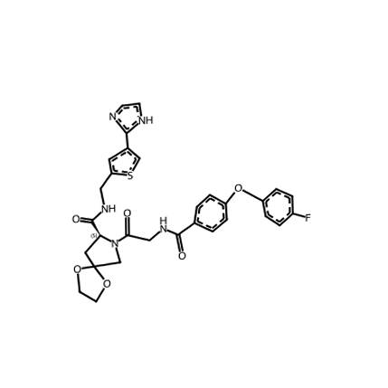 O=C(NCC(=O)N1CC2(C[C@H]1C(=O)NCc1cc(-c3ncc[nH]3)cs1)OCCO2)c1ccc(Oc2ccc(F)cc2)cc1